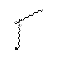 O=[PH](OCCCCCCCCBr)OCCCCCCCCBr